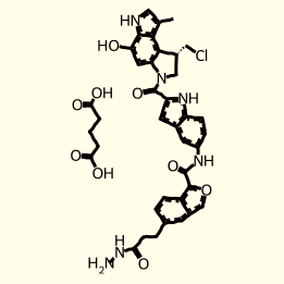 Cc1c[nH]c2c(O)cc3c(c12)[C@H](CCl)CN3C(=O)c1cc2cc(NC(=O)c3occ4cc(CCC(=O)NN)ccc34)ccc2[nH]1.O=C(O)CCCC(=O)O